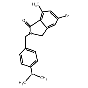 Cc1cc(Br)cc2c1C(=O)N(Cc1ccc(N(C)C)cc1)C2